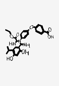 CCOC(=O)C(=N)N(C(=N)c1cc(C(C)C)c(O)cc1O)c1ccc(Oc2ccc(C(=O)O)cc2)cc1